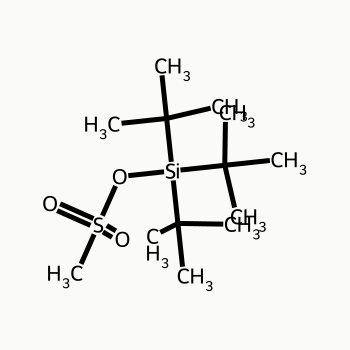 CC(C)(C)[Si](OS(C)(=O)=O)(C(C)(C)C)C(C)(C)C